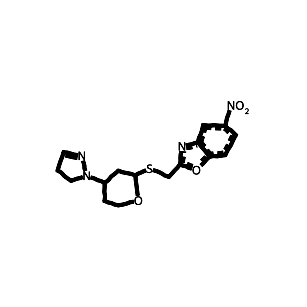 O=[N+]([O-])c1ccc2oc(CSC3CC(N4CCC=N4)CCO3)nc2c1